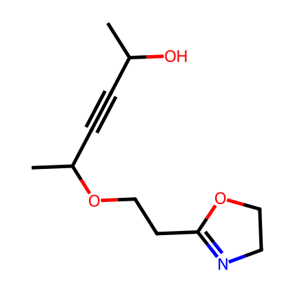 CC(O)C#CC(C)OCCC1=NCCO1